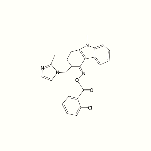 Cc1nccn1CC1CCc2c(c3ccccc3n2C)C1=NOC(=O)c1ccccc1Cl